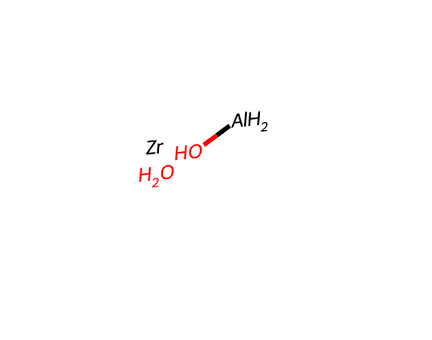 O.[OH][AlH2].[Zr]